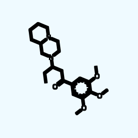 CCC(CC(=O)c1cc(OC)c(OC)c(OC)c1)N1CCN2CCCCC2C1